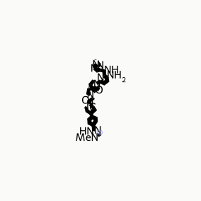 CN/C=N\C(=N)c1ccc(C2=CCN(C(=O)CN3CC[C@]4(CCN(c5ccc(N)c(C(=N)c6cnn(C)n6)n5)C4=O)C3)CC2)cc1